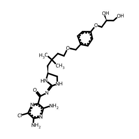 CC(C)(CCOCc1ccc(OC[C@@H](O)CO)cc1)C[C@H]1CN/C(=N/C(=O)c2nc(Cl)c(N)nc2N)N1